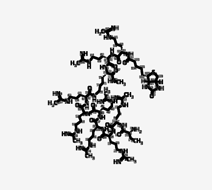 CC[C@@H](N)C(=O)N[C@@H](CCCNC(C)=N)C(=O)N[C@@H](CCCNC(C)=N)C(=O)N[C@@H](CCCNC(C)=N)C(=O)N[C@@H](CCCNC(C)=N)C(=O)N[C@@H](CCCNC(C)=N)C(=O)N[C@@H](CCCNC(C)=N)C(=O)NCCCC[C@H](NC(=O)[C@H](CCCNC(C)=N)NC(=O)[C@H](CCCNC(C)=N)NC(=O)CCCC[C@@H]1SC[C@@H]2NC(=O)N[C@@H]21)C(=O)NC